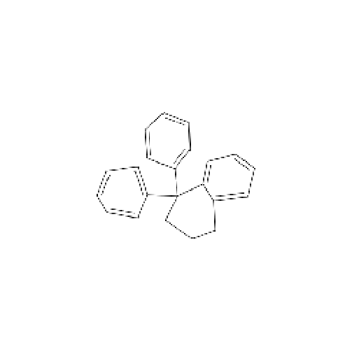 c1ccc(C2(c3ccccc3)CCCc3ccccc32)cc1